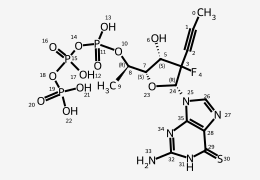 CC#CC1(F)[C@@H](O)[C@@H]([C@@H](C)OP(=O)(O)OP(=O)(O)OP(=O)(O)O)O[C@H]1n1cnc2c(=S)[nH]c(N)nc21